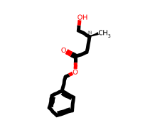 C[C@H](CO)CC(=O)OCc1ccccc1